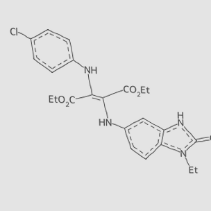 CCOC(=O)/C(Nc1ccc(Cl)cc1)=C(\Nc1ccc2c(c1)[nH]c(=O)n2CC)C(=O)OCC